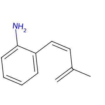 C=C(C)/C=C\c1ccccc1N